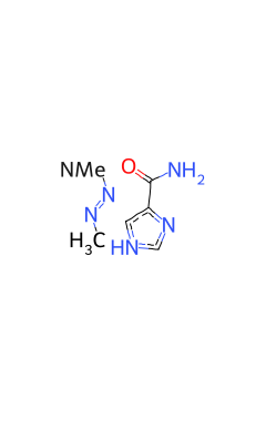 CN=NNC.NC(=O)c1c[nH]cn1